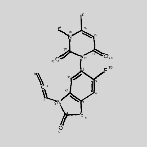 C=C=Cn1c(=O)sc2cc(F)c(-n3c(=O)cc(C)n(C)c3=O)cc21